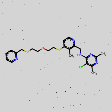 Cc1nc(C)c(Cl)c(NCc2nccc(SCCOCCSCc3ccccn3)c2C)n1